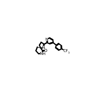 O=C1NCCC[C@]12CCC(c1cc(-c3ccc(C(F)(F)F)cc3)ccn1)=N2